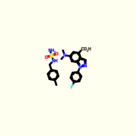 CN(C)c1cc(C(=O)O)c2cnn(-c3ccc(F)cc3)c2c1.Cc1ccc(CNS(N)(=O)=O)cc1